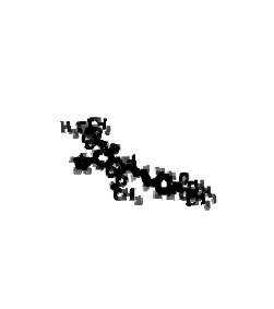 CCOC(=O)C(CCCCC1CCN(C(=O)OC(C)(C)C)CC1)NC1CSC(c2cccs2)CN(CC(=O)OC(C)(C)C)C1=O